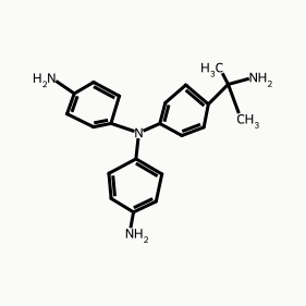 CC(C)(N)c1ccc(N(c2ccc(N)cc2)c2ccc(N)cc2)cc1